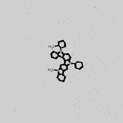 CC1C=CC=CC1n1c2ccccc2c2c3c4cc5c(cc4n(C4=CC=CCC4)c3ccc21)c1ccccc1n5C